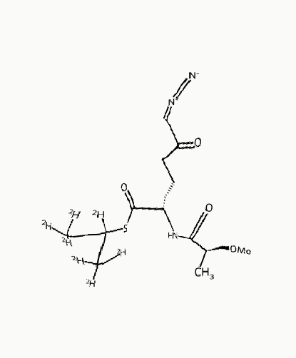 [2H]C([2H])([2H])C([2H])(SC(=O)[C@H](CCC(=O)C=[N+]=[N-])NC(=O)[C@H](C)OC)C([2H])([2H])[2H]